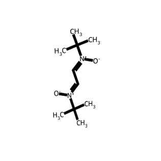 CC(C)(C)[N+]([O-])=CC=[N+]([O-])C(C)(C)C